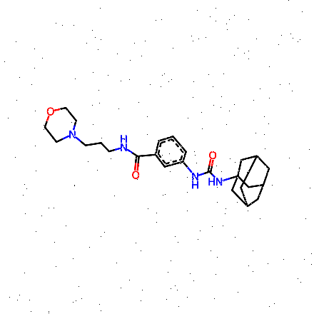 O=C(Nc1cccc(C(=O)NCCCN2CCOCC2)c1)NC12CC3CC(CC(C3)C1)C2